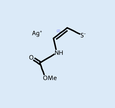 COC(=O)N/C=C\[S-].[Ag+]